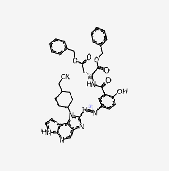 N#CCC1CCC(n2c(/N=N/c3ccc(O)c(C(=O)N[C@H](CC(=O)OCc4ccccc4)C(=O)OCc4ccccc4)c3)nc3cnc4[nH]ccc4c32)CC1